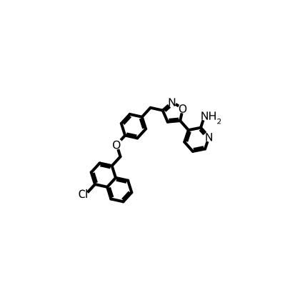 Nc1ncccc1-c1cc(Cc2ccc(OCc3ccc(Cl)c4ccccc34)cc2)no1